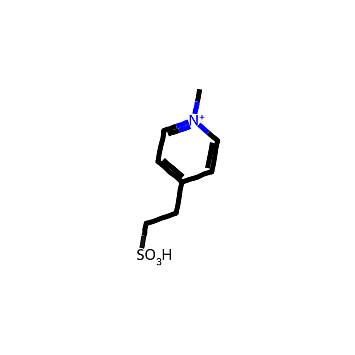 C[n+]1ccc(CCS(=O)(=O)O)cc1